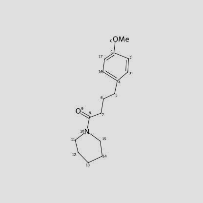 COc1ccc(CCCC(=O)N2CCCCC2)cc1